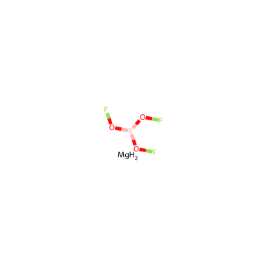 FOB(OF)OF.[MgH2]